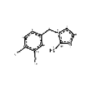 Fc1ccc(Cn2ccnc2S)cc1F